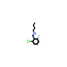 CCCCN=Cc1c(F)cccc1Cl